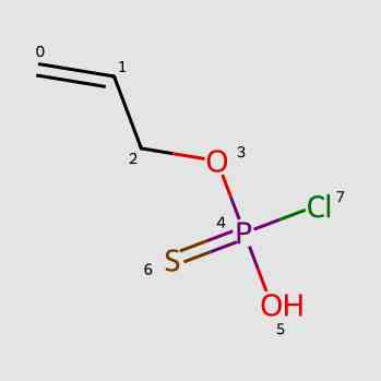 C=CCOP(O)(=S)Cl